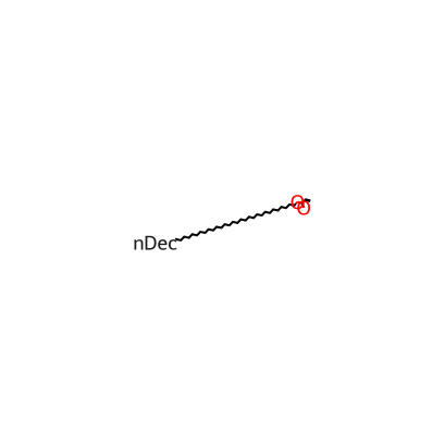 C=CC(=O)OCCCCCCCCCCCCCCCCCCCCCCCCCCCCCCCCCCCCCCCC